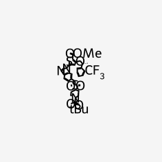 COC(=O)c1sc(-n2cnc3ccc(CS(=O)(=O)C4CCN(C(=O)OC(C)(C)C)CC4)cc32)cc1O[C@H](C)c1ccccc1C(F)(F)F